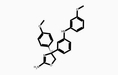 COc1ccc([C@]2(c3cccc(Nc4cccc(OC)c4)c3)COC(N)=N2)cc1